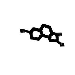 CCc1cc2c(ccc3cc(C(C)C)ccc32)[nH]1